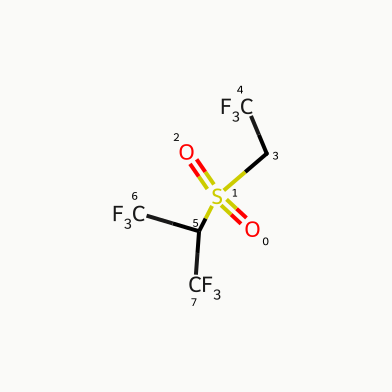 O=S(=O)(CC(F)(F)F)C(C(F)(F)F)C(F)(F)F